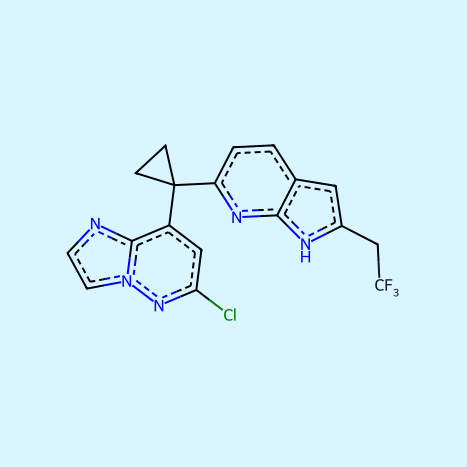 FC(F)(F)Cc1cc2ccc(C3(c4cc(Cl)nn5ccnc45)CC3)nc2[nH]1